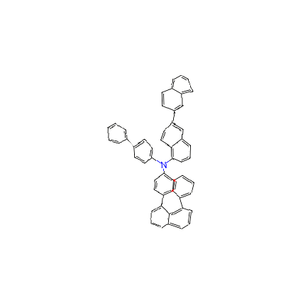 c1ccc(-c2ccc(N(c3ccc(-c4cccc5cccc(-c6ccccc6)c45)cc3)c3cccc4cc(-c5ccc6ccccc6c5)ccc34)cc2)cc1